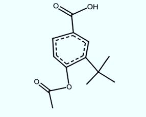 CC(=O)Oc1ccc(C(=O)O)cc1C(C)(C)C